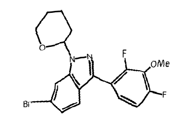 COc1c(F)ccc(-c2nn(C3CCCCO3)c3cc(Br)ccc23)c1F